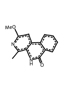 COc1cc2c([nH]c(=O)c3ccccc32)c(C)n1